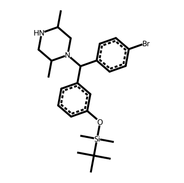 CC1CN(C(c2ccc(Br)cc2)c2cccc(O[Si](C)(C)C(C)(C)C)c2)C(C)CN1